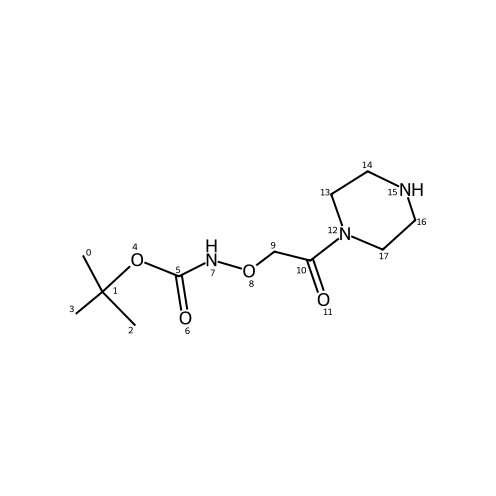 CC(C)(C)OC(=O)NOCC(=O)N1CCNCC1